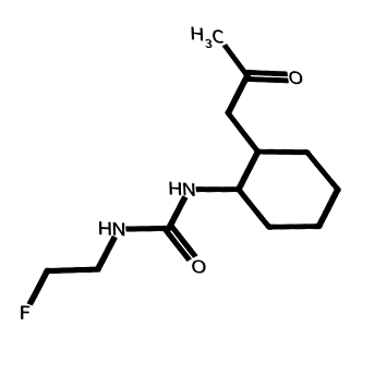 CC(=O)CC1CCCCC1NC(=O)NCCF